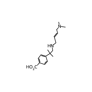 CN(C)C/C=C/CNCC(C)(C)c1ccc(C(=O)O)cc1